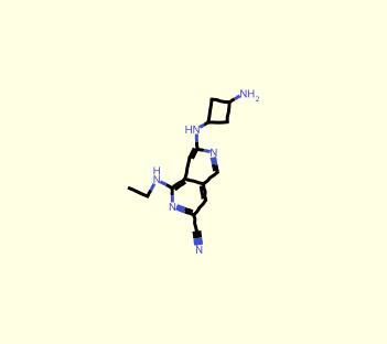 CCNc1nc(C#N)cc2cnc(NC3CC(N)C3)cc12